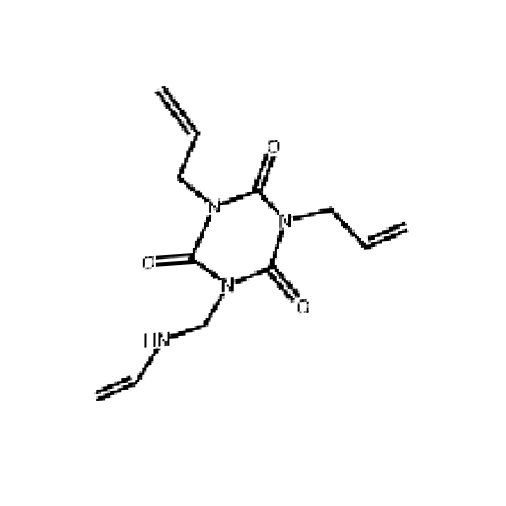 C=CCn1c(=O)n(CC=C)c(=O)n(CNC=C)c1=O